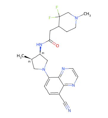 C[C@@H]1CN(c2ccc(C#N)c3nccnc23)C[C@@H]1NC(=O)CC1CCN(C)CC1(F)F